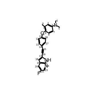 Cc1cc(N(C)C)ccc1Oc1ccc(C#Cc2cc3cc(F)cnc3[nH]2)cc1